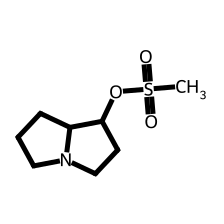 CS(=O)(=O)OC1CCN2CCCC12